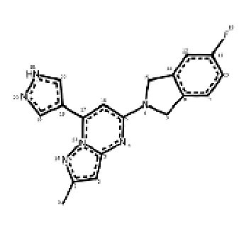 Cc1cc2nc(N3Cc4ccc(F)cc4C3)cc(-c3cn[nH]c3)n2n1